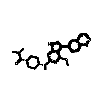 COc1nc(N[C@H]2CC[C@@H](C(=O)N(C)C)CC2)nc2[nH]cc(-c3ccc4nnccc4c3)c12